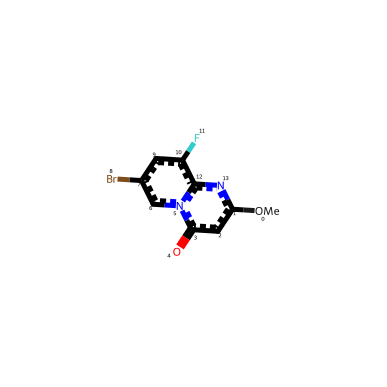 COc1cc(=O)n2cc(Br)cc(F)c2n1